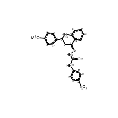 COc1ccc(C2CC(=NNC(=O)Nc3ccc([N+](=O)[O-])cc3)c3ccccc3N2)cc1